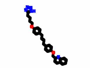 C(=CCc1ccc(OCc2ccc3ccccc3n2)cc1)Cc1ccc(OCCCCc2nnn[nH]2)cc1